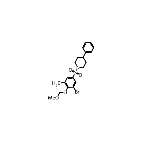 COCOc1c(C)cc(S(=O)(=O)N2CCC(c3ccccc3)CC2)cc1Br